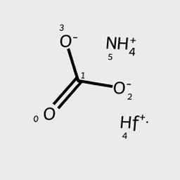 O=C([O-])[O-].[Hf+].[NH4+]